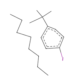 CC(C)(C)c1ccc(I)cc1.CCCCCCCC